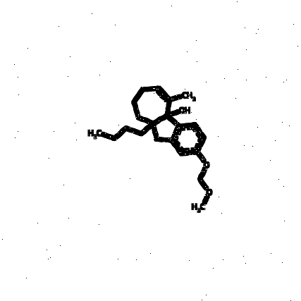 CCCCC12CCCC=C(C)C1(O)c1ccc(OCOC)cc1C2